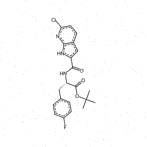 CC(C)(C)OC(=O)[C@H](Cc1ccc(F)cc1)NC(=O)c1cc2ccc(Cl)nc2[nH]1